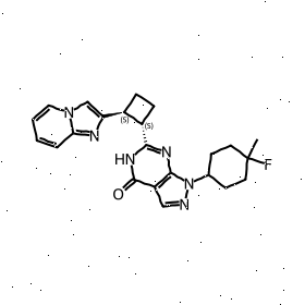 CC1(F)CCC(n2ncc3c(=O)[nH]c([C@H]4CC[C@@H]4c4cn5ccccc5n4)nc32)CC1